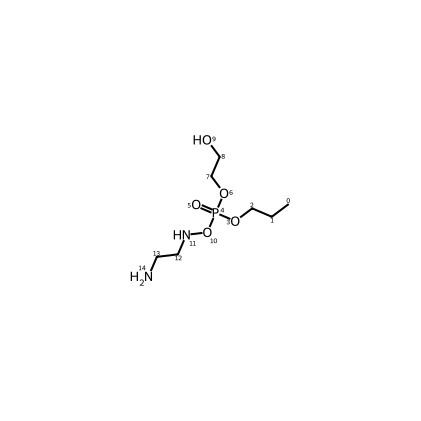 CCCOP(=O)(OCCO)ONCCN